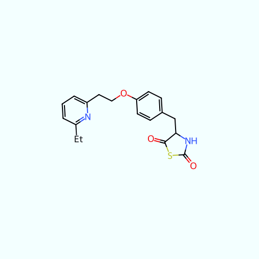 CCc1cccc(CCOc2ccc(CC3NC(=O)SC3=O)cc2)n1